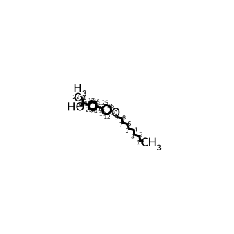 CCCCCCCCCCOC1CCC(c2ccc(C(O)CC)cc2)CC1